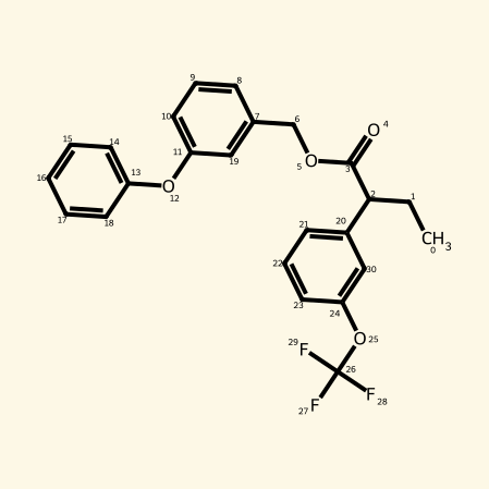 CCC(C(=O)OCc1cccc(Oc2ccccc2)c1)c1cccc(OC(F)(F)F)c1